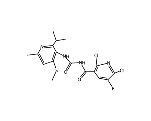 CSc1cc(C)nc(C(C)C)c1NC(=O)NC(=O)c1cc(F)c(Cl)nc1Cl